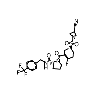 N#CC1CN(S(=O)(=O)N2CCC(F)=C(C(=O)N3CCC[C@@H]3C(=O)NCc3ccc(C(F)(F)F)cc3)C2)C1